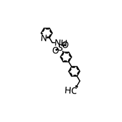 C#CCc1ccc(-c2ccc(S(=O)(=O)NCc3ccccn3)cc2)cc1